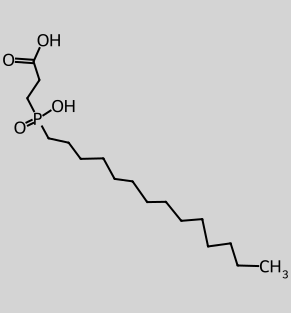 CCCCCCCCCCCCCCP(=O)(O)CCC(=O)O